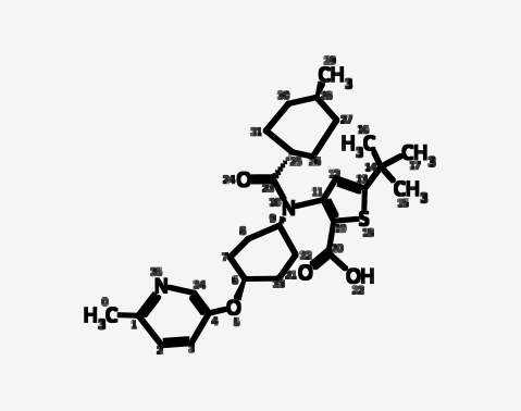 Cc1ccc(O[C@H]2CC[C@H](N(c3cc(C(C)(C)C)sc3C(=O)O)C(=O)[C@H]3CC[C@H](C)CC3)CC2)cn1